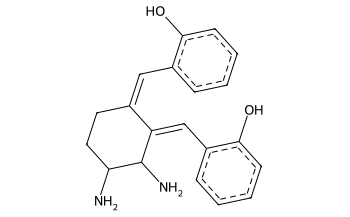 NC1CCC(=C/c2ccccc2O)/C(=C/c2ccccc2O)C1N